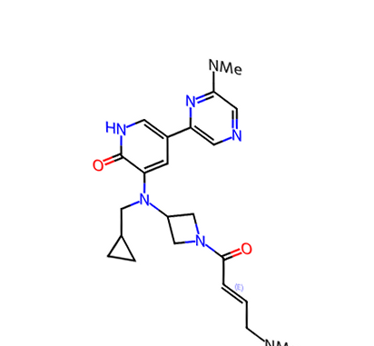 CNC/C=C/C(=O)N1CC(N(CC2CC2)c2cc(-c3cncc(NC)n3)c[nH]c2=O)C1